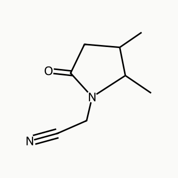 CC1CC(=O)N(CC#N)C1C